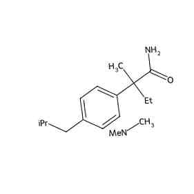 CCC(C)(C(N)=O)c1ccc(CC(C)C)cc1.CNC